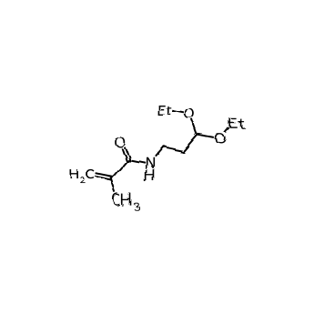 C=C(C)C(=O)NCCC(OCC)OCC